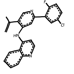 C=C(C)c1cnc(-c2cc(Cl)ccc2F)cc1Nc1ccnc2ccccc12